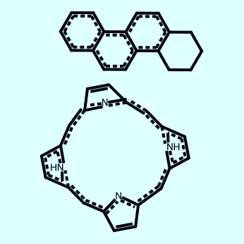 C1=Cc2cc3ccc(cc4nc(cc5ccc(cc1n2)[nH]5)C=C4)[nH]3.c1ccc2c(c1)ccc1c3c(ccc12)CCCC3